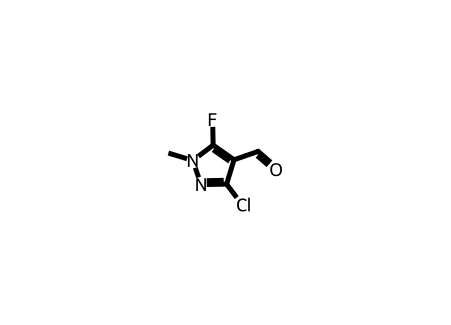 Cn1nc(Cl)c(C=O)c1F